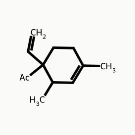 C=CC1(C(C)=O)CCC(C)=CC1C